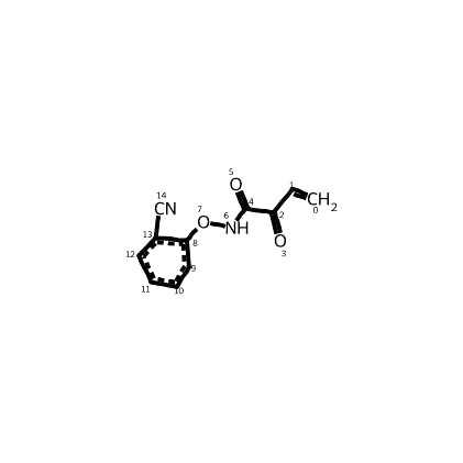 C=CC(=O)C(=O)NOc1ccccc1C#N